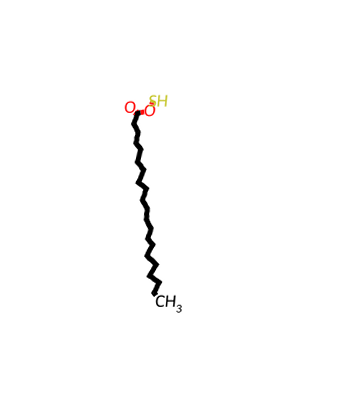 CCCCCCCCCCCCCCCCCCCCC(=O)OS